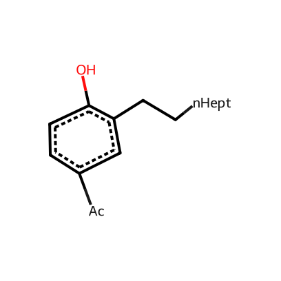 CCCCCCCCCc1cc(C(C)=O)ccc1O